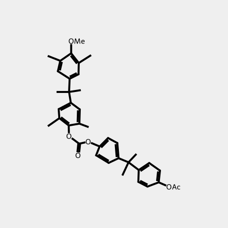 COc1c(C)cc(C(C)(C)c2cc(C)c(OC(=O)Oc3ccc(C(C)(C)c4ccc(OC(C)=O)cc4)cc3)c(C)c2)cc1C